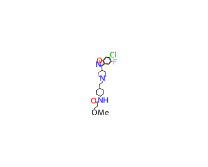 COCCC(=O)NC1CCC(CCN2CCC(c3noc4cc(Cl)c(F)cc34)CC2)CC1